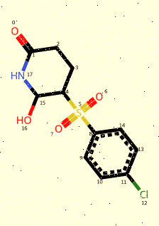 O=C1CCC(S(=O)(=O)c2ccc(Cl)cc2)C(O)N1